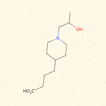 CC(O)CN1CCC(CCCC(=O)O)CC1